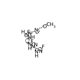 CCOCCCc1cccc(CCN(C)C(=O)N[C@H]2CCC[C@@H](Nc3nc(-c4c[nH]c5ncc(F)cc45)ncc3F)C2)n1